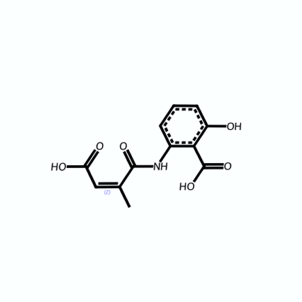 C/C(=C/C(=O)O)C(=O)Nc1cccc(O)c1C(=O)O